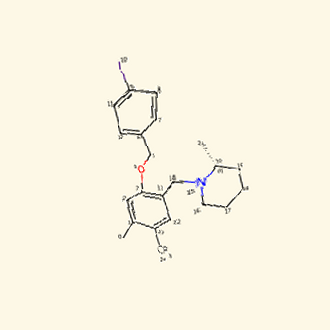 Cc1cc(OCc2ccc(I)cc2)c(CN2CCCC[C@H]2C)cc1C(F)(F)F